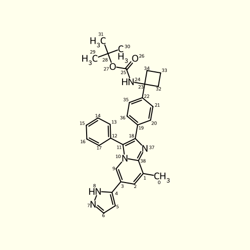 Cc1cc(-c2ccn[nH]2)cn2c(-c3ccccc3)c(-c3ccc(C4(NC(=O)OC(C)(C)C)CCC4)cc3)nc12